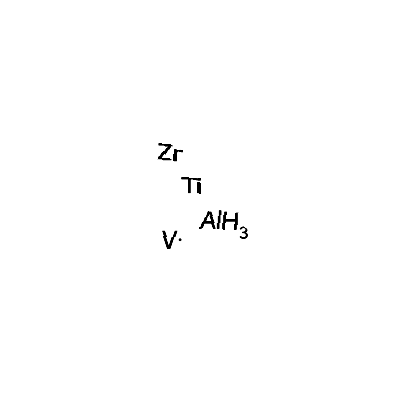 [AlH3].[Ti].[V].[Zr]